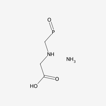 N.O=PCNCC(=O)O